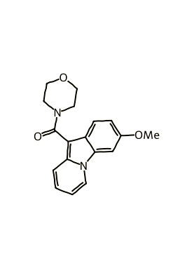 COc1ccc2c(C(=O)N3CCOCC3)c3ccccn3c2c1